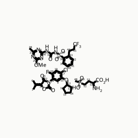 CC(C)=C1OC(=O)N(c2cc(OC3CCCC3)c(Cl)cc2F)C1=O.COc1nc(C)nc(NC(=O)NS(=O)(=O)c2ccccc2CCC(F)(F)F)n1.CP(=O)(O)CCC(N)C(=O)O